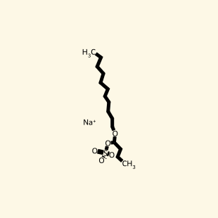 CCCCCCCCCCCOC(CCC)OS(=O)(=O)[O-].[Na+]